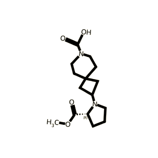 COC(=O)[C@H]1CCCN1C1CC2(CCN(C(=O)O)CC2)C1